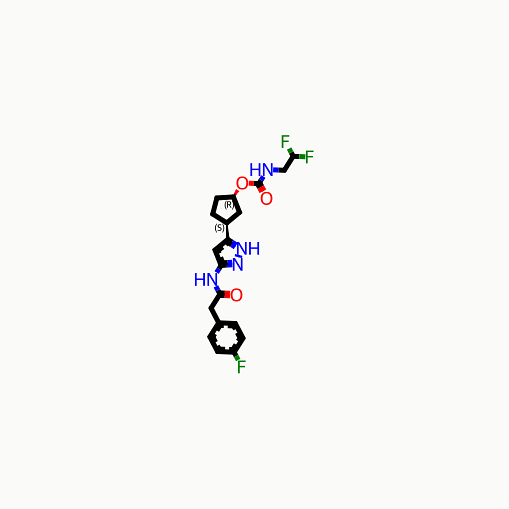 O=C(Cc1ccc(F)cc1)Nc1cc([C@H]2CC[C@@H](OC(=O)NCC(F)F)C2)[nH]n1